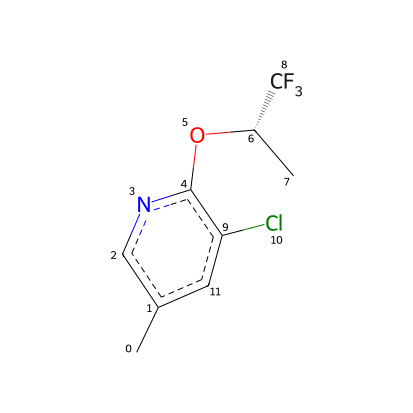 Cc1cnc(O[C@@H](C)C(F)(F)F)c(Cl)c1